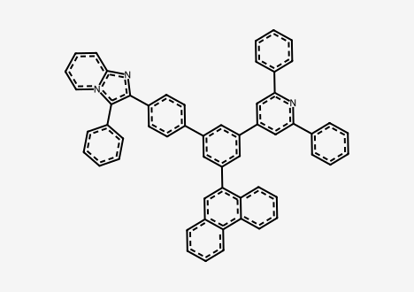 c1ccc(-c2cc(-c3cc(-c4ccc(-c5nc6ccccn6c5-c5ccccc5)cc4)cc(-c4cc5ccccc5c5ccccc45)c3)cc(-c3ccccc3)n2)cc1